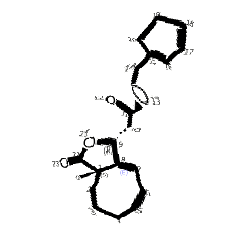 C[C@]12CCCCC/C=C\1[C@@H](CC(=O)OCc1ccccc1)OC2=O